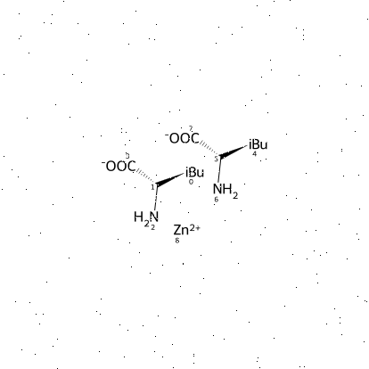 CC[C@H](C)[C@H](N)C(=O)[O-].CC[C@H](C)[C@H](N)C(=O)[O-].[Zn+2]